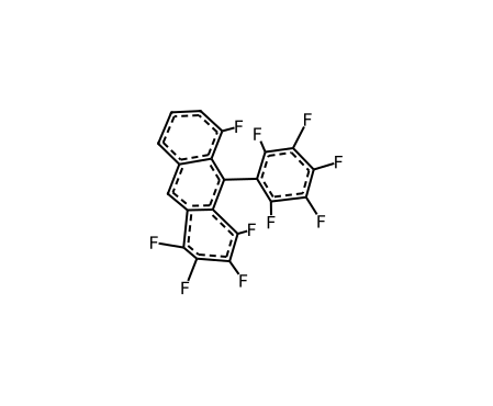 Fc1c(F)c(F)c(-c2c3c(F)cccc3cc3c(F)c(F)c(F)c(F)c23)c(F)c1F